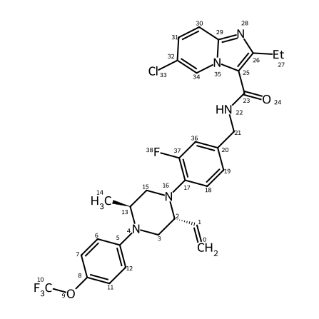 C=C[C@@H]1CN(c2ccc(OC(F)(F)F)cc2)[C@@H](C)CN1c1ccc(CNC(=O)c2c(CC)nc3ccc(Cl)cn23)cc1F